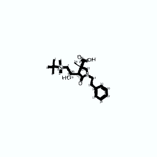 CC(C)(C)[Si](C)(C)C[C@H](O)C1C(=O)N(CCc2ccccc2)C[C@@]1(C)C(=O)O